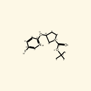 CC(C)(C)OC(=O)N1CCC(Oc2ccc(F)cn2)C1